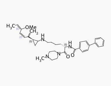 C=C(/C=C\C(=C/C)OC)[C@@H]1CC1NCCCC[C@H](NC(=O)c1ccc(-c2ccccc2)cc1)C(=O)N1CCN(C)CC1